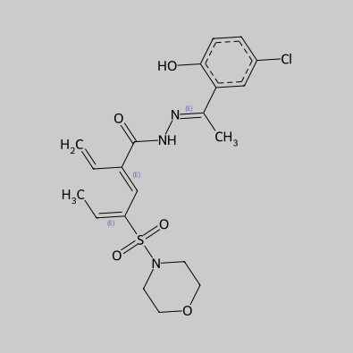 C=C/C(=C\C(=C/C)S(=O)(=O)N1CCOCC1)C(=O)N/N=C(\C)c1cc(Cl)ccc1O